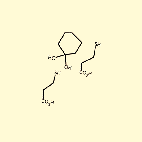 O=C(O)CCS.O=C(O)CCS.OC1(O)CCCCC1